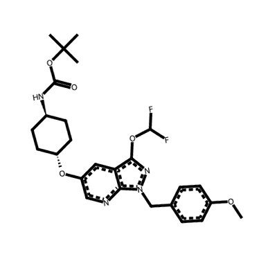 COc1ccc(Cn2nc(OC(F)F)c3cc(O[C@H]4CC[C@H](NC(=O)OC(C)(C)C)CC4)cnc32)cc1